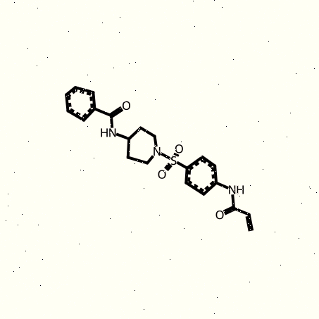 C=CC(=O)Nc1ccc(S(=O)(=O)N2CCC(NC(=O)c3ccccc3)CC2)cc1